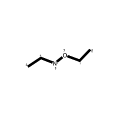 [CH2]CO[N]CC